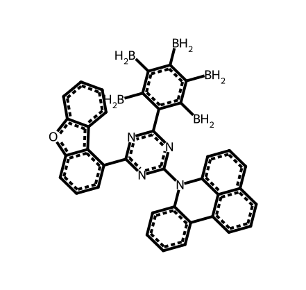 Bc1c(B)c(B)c(-c2nc(-c3cccc4oc5ccccc5c34)nc(N3c4ccccc4-c4cccc5cccc3c45)n2)c(B)c1B